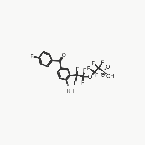 O=C(c1ccc(F)cc1)c1ccc(F)c(C(F)(F)C(F)(F)OC(F)(F)C(F)(F)S(=O)(=O)O)c1.[KH]